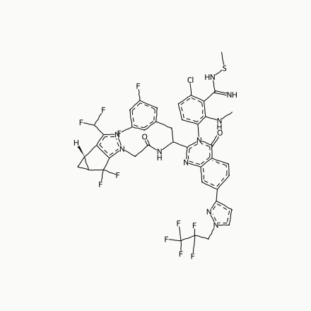 CNc1c(-n2c(C(Cc3cc(F)cc(F)c3)NC(=O)Cn3nc(C(F)F)c4c3C(F)(F)C3C[C@H]43)nc3cc(-c4ccn(CC(F)(F)C(F)(F)F)n4)ccc3c2=O)ccc(Cl)c1C(=N)NSC